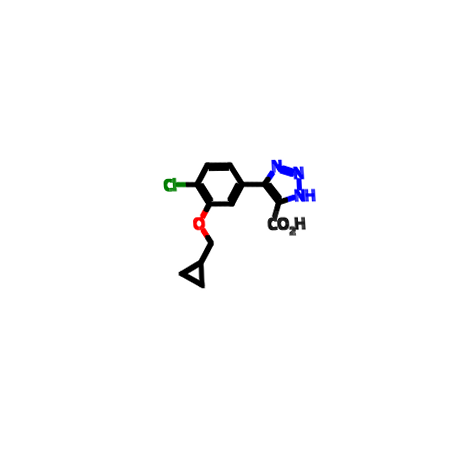 O=C(O)c1[nH]nnc1-c1ccc(Cl)c(OCC2CC2)c1